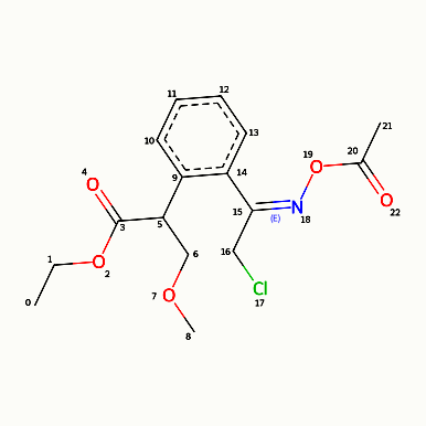 CCOC(=O)C(COC)c1ccccc1/C(CCl)=N\OC(C)=O